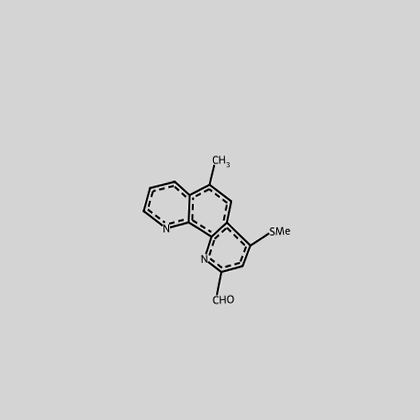 CSc1cc(C=O)nc2c1cc(C)c1cccnc12